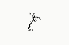 CC(N)=CC(=O)OCCCCO